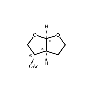 CC(=O)O[C@@H]1CO[C@H]2OCC[C@H]21